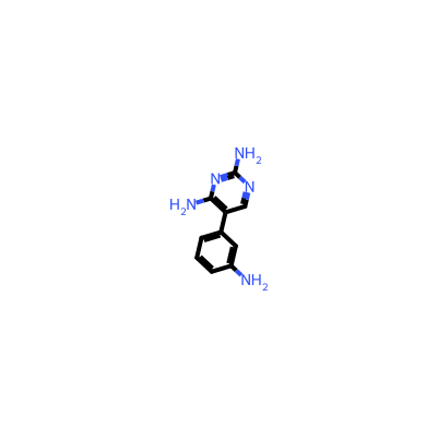 Nc1cccc(-c2cnc(N)nc2N)c1